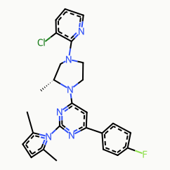 Cc1ccc(C)n1-c1nc(-c2ccc(F)cc2)cc(N2CCN(c3ncccc3Cl)C[C@H]2C)n1